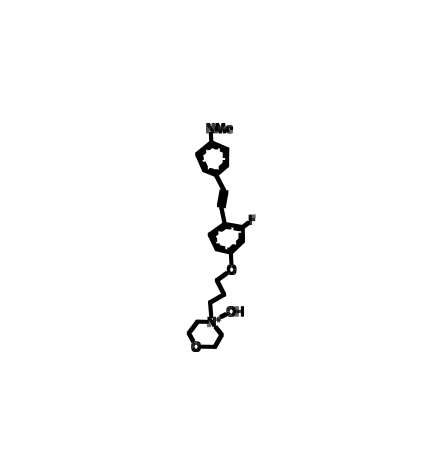 CNc1ccc(C#Cc2ccc(OCCC[N+]3(O)CCOCC3)cc2F)cc1